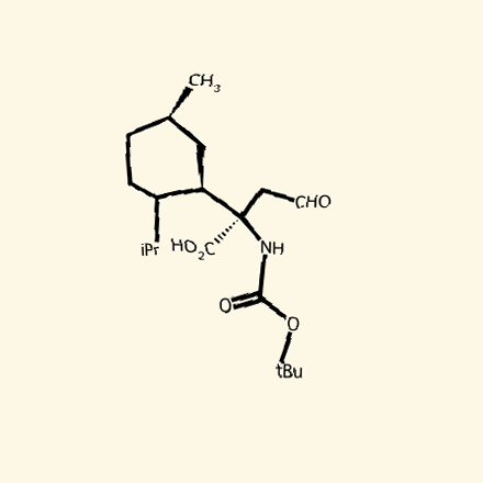 CC(C)C1CC[C@@H](C)C[C@H]1[C@@](CC=O)(NC(=O)OC(C)(C)C)C(=O)O